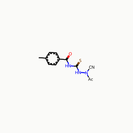 CC(=O)N(C#N)NC(=S)NC(=O)c1ccc(C)cc1